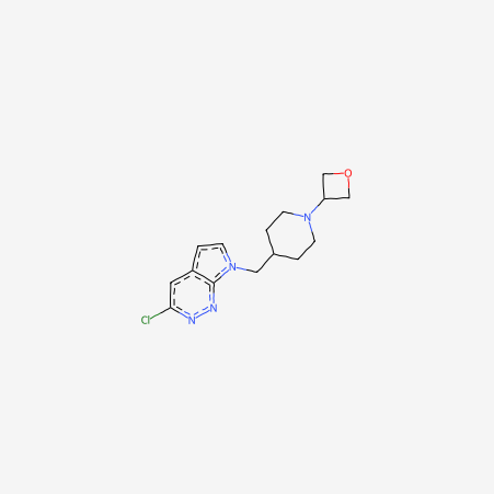 Clc1cc2ccn(CC3CCN(C4COC4)CC3)c2nn1